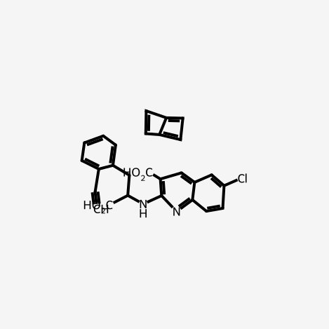 C#Cc1ccccc1CC(Nc1nc2ccc(Cl)cc2cc1C(=O)O)C(=O)O.c1cc2ccc1-2